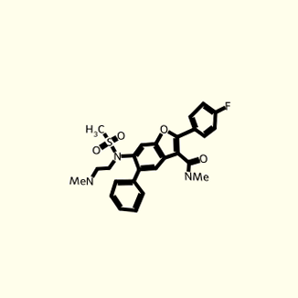 CNCCN(c1cc2oc(-c3ccc(F)cc3)c(C(=O)NC)c2cc1-c1ccccc1)S(C)(=O)=O